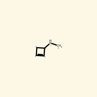 CN[C]1C=CC1